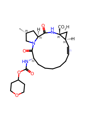 C[C@@H]1C[C@H]2C(=O)N[C@]3(C(=O)O)C[C@H]3/C=C\CCCCC[C@H](NC(=O)OC3CCOCC3)C(=O)N2C1